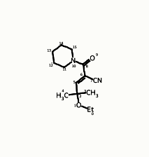 CCOC(C)(C)C=C(C#N)C(=O)N1C[CH]CCC1